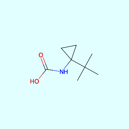 CC(C)(C)C1(NC(=O)O)CC1